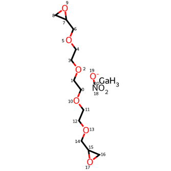 C(COCCOCC1CO1)OCCOCC1CO1.O=[N+]([O-])[O-].[GaH3]